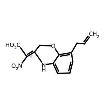 C=CCc1cccc2c1OC/C(=C(\C(=O)O)[N+](=O)[O-])N2